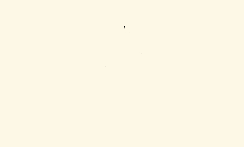 Cc1ccc(S(=O)(=O)N2C(C)CN(CCCc3ccc(C(F)(F)F)c(F)c3)C[C@@H]2C)cc1CC(=O)O